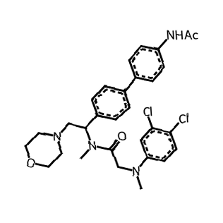 CC(=O)Nc1ccc(-c2ccc(C(CN3CCOCC3)N(C)C(=O)CN(C)c3ccc(Cl)c(Cl)c3)cc2)cc1